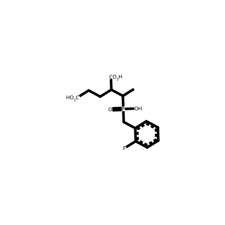 CC(C(CCC(=O)O)C(=O)O)P(=O)(O)Cc1ccccc1F